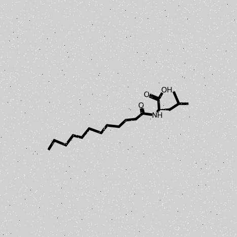 CCCCCCCCCCCC(=O)N[C@H](CC(C)C)C(=O)O